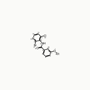 CCOc1cccc(C(=O)Nc2c(Cl)ccnc2Br)n1